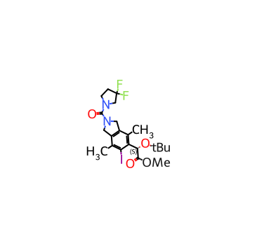 COC(=O)[C@@H](OC(C)(C)C)c1c(C)c2c(c(C)c1I)CN(C(=O)N1CCC(F)(F)C1)C2